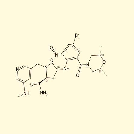 CNc1cncc(CN2C[C@H](Nc3c(C(=O)N4C[C@@H](C)O[C@@H](C)C4)cc(Br)cc3[N+](=O)[O-])C[C@H]2C(N)=O)c1